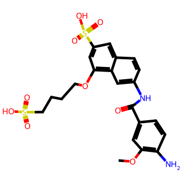 COc1cc(C(=O)Nc2ccc3cc(S(=O)(=O)O)cc(OCCCCS(=O)(=O)O)c3c2)ccc1N